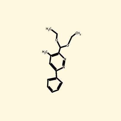 CCOC(OCC)c1nnc(-c2ccccc2)cc1C